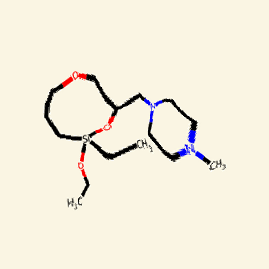 CCO[Si]1(CC)CCCOCC(CN2CCN(C)CC2)O1